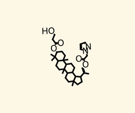 CC(=COC(=O)Cn1cccn1)C1CCC2(C)CCC3C(CCC4C3(C)CCC3C(C)(C)C(OC(=O)CCO)CCC34C)C12